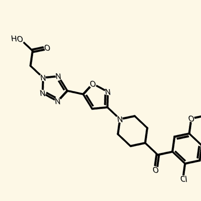 COc1ccc(Cl)c(C(=O)C2CCN(c3cc(-c4nnn(CC(=O)O)n4)on3)CC2)c1